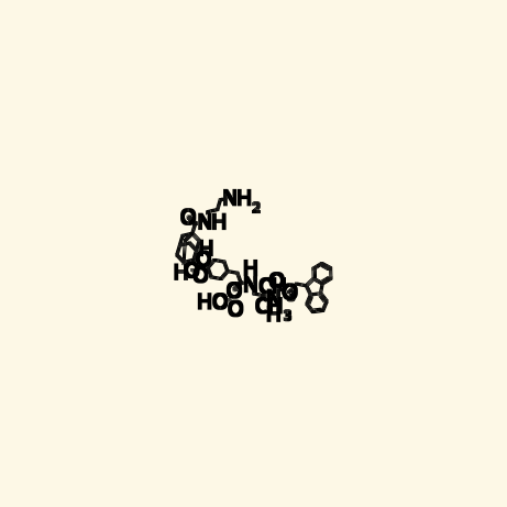 CC(C)(CNC(=O)CC1CCC2(CC1)OOC1(O2)[C@@H]2CC3C[C@H]1CC(C(=O)NCCCN)(C3)C2)NC(=O)OCC1c2ccccc2-c2ccccc21.O=CO